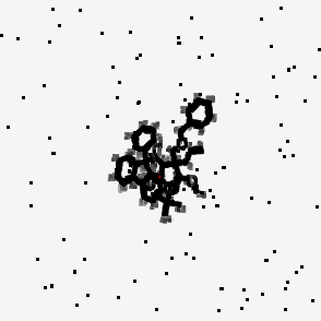 C=CCC(COCc1ccccc1)(C(=O)OC)C(NC1(c2ccccc2)c2ccccc2-c2ccccc21)C(=O)OC(C)(C)C